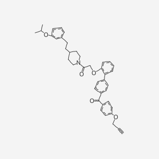 C#CCOc1ccc(C(=O)c2ccc(-c3ccccc3OCC(=O)N3CCC(CCc4cccc(OC(C)C)c4)CC3)cc2)cc1